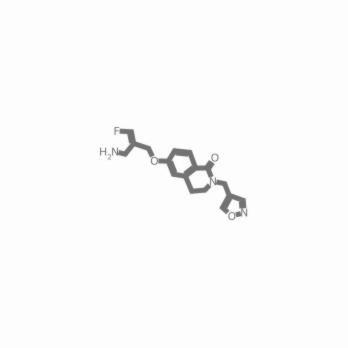 NC/C(=C\F)COc1ccc2c(c1)CCN(Cc1cnoc1)C2=O